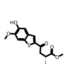 COC(=O)[C@H](C)CC(=O)c1cc2cc(O)c(OC)cc2s1